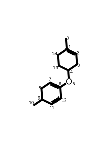 CC1=CCC(OC2=CCC(C)C=C2)CC1